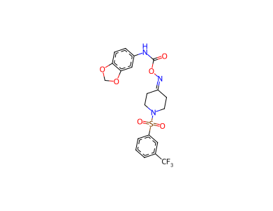 O=C(Nc1ccc2c(c1)OCO2)ON=C1CCN(S(=O)(=O)c2cccc(C(F)(F)F)c2)CC1